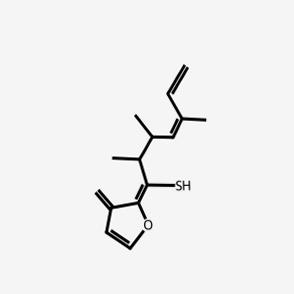 C=C/C(C)=C\C(C)C(C)/C(S)=c1/occc1=C